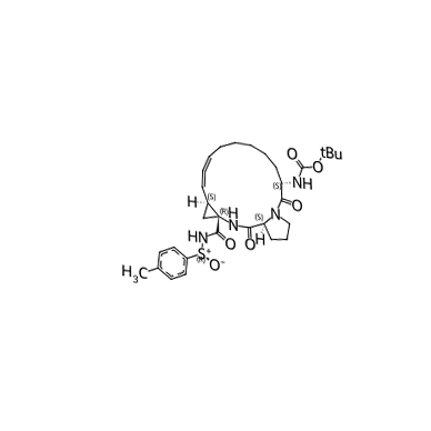 Cc1ccc([S@+]([O-])NC(=O)[C@@]23C[C@H]2C=C=CCCCCC[C@H](NC(=O)OC(C)(C)C)C(=O)N2CCC[C@H]2C(=O)N3)cc1